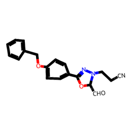 N#CCCN1N=C(c2ccc(OCc3ccccc3)cc2)OC1C=O